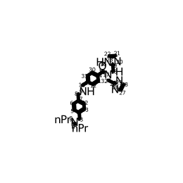 CCCN(CCC)Cc1ccc(CNCc2ccc(C(=O)N(Cc3ncc[nH]3)Cc3ncc[nH]3)cc2)cc1